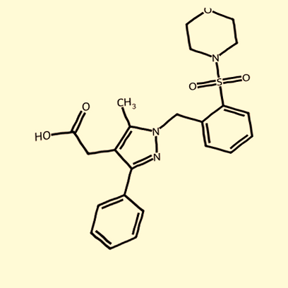 Cc1c(CC(=O)O)c(-c2ccccc2)nn1Cc1ccccc1S(=O)(=O)N1CCOCC1